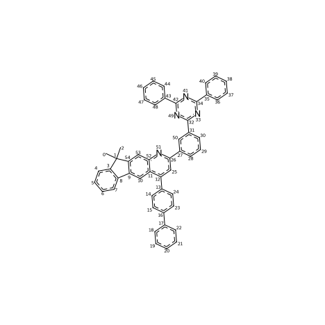 CC1(C)c2ccccc2-c2cc3c(-c4ccc(-c5ccccc5)cc4)cc(-c4cccc(-c5nc(-c6ccccc6)nc(-c6ccccc6)n5)c4)nc3cc21